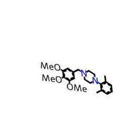 COc1cc(CN2CCN(c3c(C)cccc3C)CC2)cc(OC)c1OC